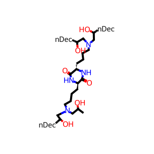 CCCCCCCCCCC(O)CN(CCCC[C@H]1NC(=O)[C@H](CCCCN(CC(O)CCCCCCCCCC)CC(O)CCCCCCCCCC)NC1=O)CC(C)O